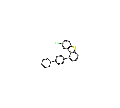 Clc1ccc2sc3cccc(-c4ccc(C5C=CC=CC5)cc4)c3c2c1